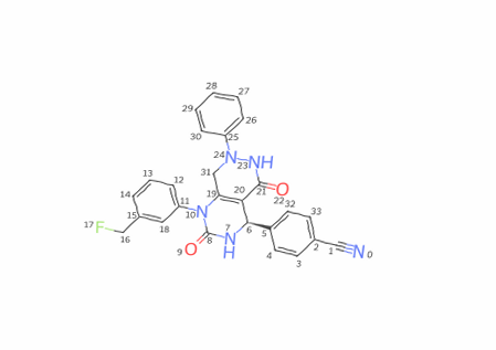 N#Cc1ccc([C@H]2NC(=O)N(c3cccc(CF)c3)C3=C2C(=O)NN(c2ccccc2)C3)cc1